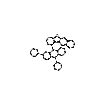 c1ccc(-c2ccc3c(-c4ccccc4)c4ccccc4c(-c4cccc5oc6cc7ccccc7cc6c45)c3c2)cc1